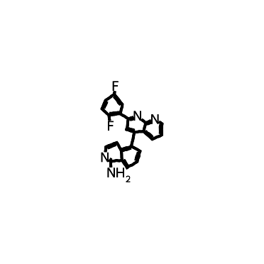 Nc1nccc2c(-c3cc(-c4cc(F)ccc4F)nc4ncccc34)cccc12